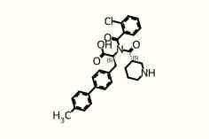 Cc1ccc(-c2ccc(C[C@@H](C(=O)O)N(C(=O)c3ccccc3Cl)C(=O)[C@H]3CCCNC3)cc2)cc1